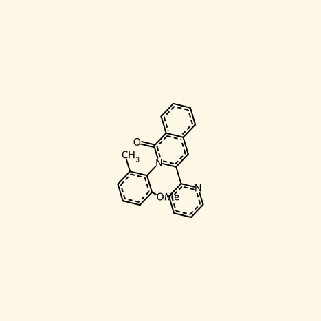 COc1cccc(C)c1-n1c(-c2ccccn2)cc2ccccc2c1=O